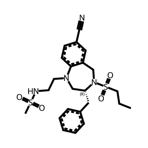 CCCS(=O)(=O)N1Cc2cc(C#N)ccc2N(CCNS(C)(=O)=O)C[C@H]1Cc1ccccc1